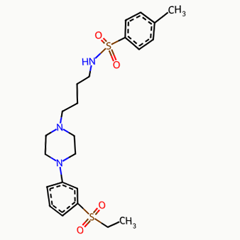 CCS(=O)(=O)c1cccc(N2CCN(CCCCNS(=O)(=O)c3ccc(C)cc3)CC2)c1